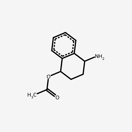 CC(=O)OC1CCC(N)c2ccccc21